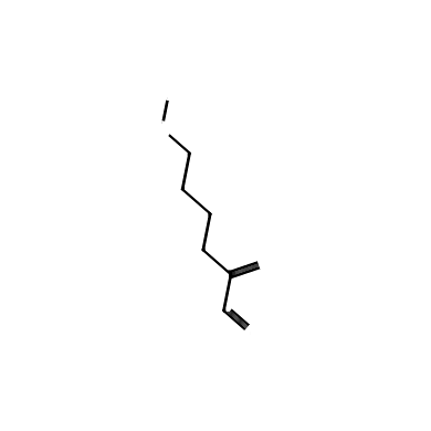 C=CC(=O)CCCCO[SiH3]